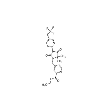 CCOC(=O)c1cc(CN2C(=O)N(c3ccc(SC(F)(F)F)cc3)C(=O)C2(C)C)ccn1